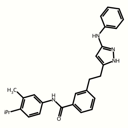 Cc1cc(NC(=O)c2cccc(CCc3cc(Nc4ccccc4)n[nH]3)c2)ccc1C(C)C